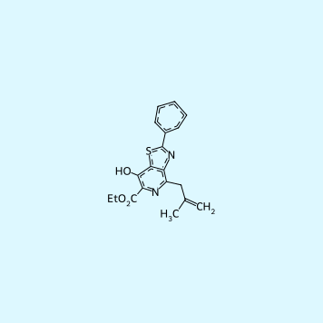 C=C(C)Cc1nc(C(=O)OCC)c(O)c2sc(-c3ccccc3)nc12